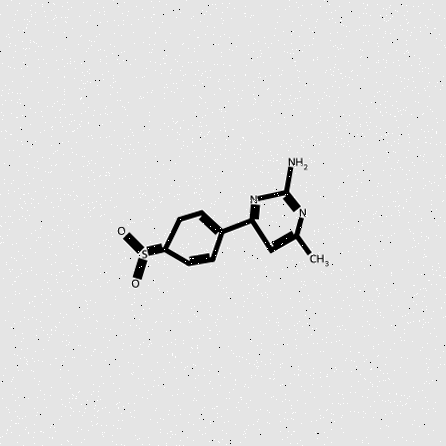 Cc1cc(C2=CCC(=S(=O)=O)C=C2)nc(N)n1